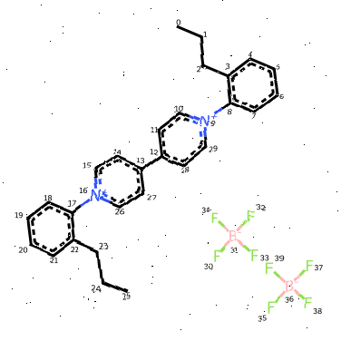 CCCc1ccccc1-[n+]1ccc(-c2cc[n+](-c3ccccc3CCC)cc2)cc1.F[B-](F)(F)F.F[B-](F)(F)F